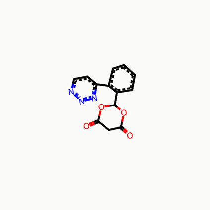 O=C1CC(=O)OC(c2ccccc2-c2ccnnn2)O1